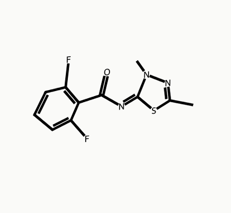 Cc1nn(C)c(=NC(=O)c2c(F)cccc2F)s1